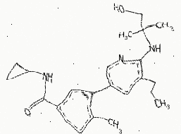 CCc1cc(-c2cc(C(=O)NC3CC3)ccc2C)cnc1NC(C)(C)CO